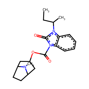 CCC(C)n1c(=O)n(C(=O)OC2CC3CCC(C2)N3C)c2ccccc21